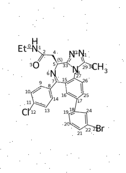 CCNC(=O)C[C@@H]1N=C(c2ccc(Cl)cc2)c2cc(-c3cccc(Br)c3)ccc2-n2c(C)nnc21